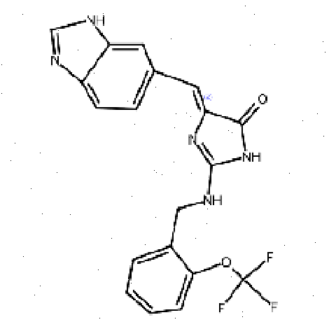 O=C1NC(NCc2ccccc2OC(F)(F)F)=N/C1=C\c1ccc2nc[nH]c2c1